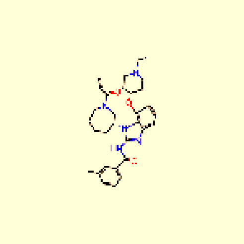 C=CC(=O)N1CCCC[C@@H](n2c(NC(=O)c3cccc(C)c3)nc3cccc(OC4CCN(CC)CC4)c32)C1